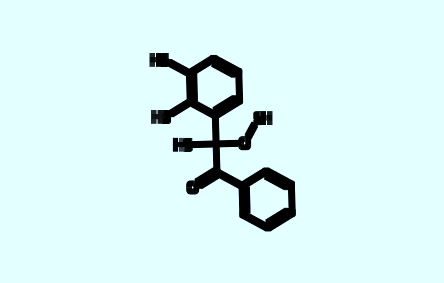 O=C(c1ccccc1)C(S)(OS)c1cccc(S)c1S